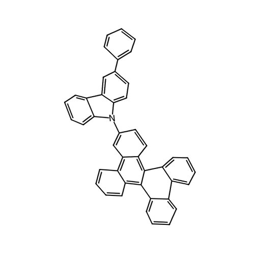 c1ccc(-c2ccc3c(c2)c2ccccc2n3-c2ccc3c(c2)c2ccccc2c2c4ccccc4c4ccccc4c32)cc1